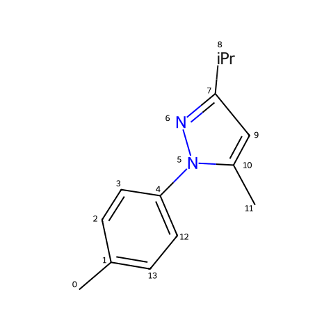 Cc1ccc(-n2nc(C(C)C)cc2C)cc1